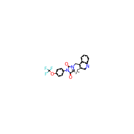 Cc1cnc2ccccc2c1CN1CC(=O)N(c2ccc(OC(F)(F)F)cc2)C1=O